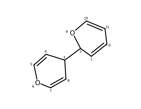 [C]1=CC(C2C=COC=C2)OC=C1